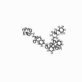 CCCOC(CCNC(=O)c1ccc(COc2cccc([C@](O)(C(=O)OCC3CCN(Cc4ccccc4)CC3)c3ccccc3)c2)cc1)OCC